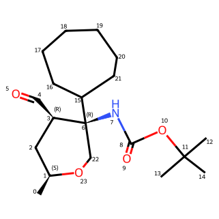 C[C@H]1C[C@@H](C=O)[C@](NC(=O)OC(C)(C)C)(C2CCCCCC2)CO1